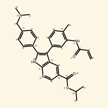 C=CC(=O)Nc1cc(-c2c(-c3ccc(CN(C)C)cc3)[nH]c3ncc(C(=O)OC(C)C)cc23)ccc1C